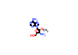 CO[C@H]1C(n2cnc3c(N)ncnc32)O[C@H](CO)[C@H]1N